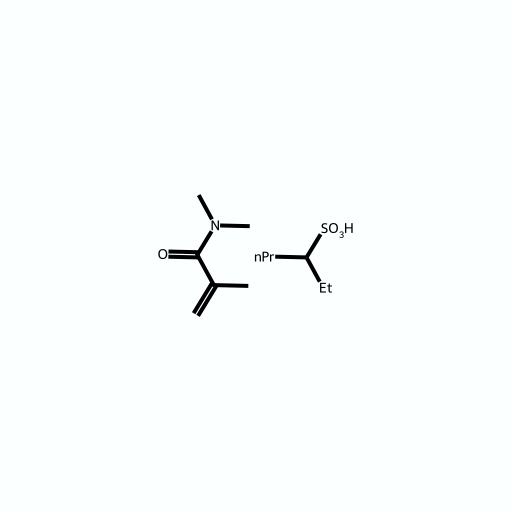 C=C(C)C(=O)N(C)C.CCCC(CC)S(=O)(=O)O